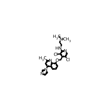 Cc1cc(-n2ccnc2)c2cccc(OCc3c(Cl)cnc(NCCN(C)C)c3Cl)c2n1